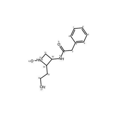 O=C(Cc1ccccc1)NC1C[NH+]([O-])C1CCO